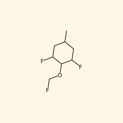 CC1CC(F)C(OCF)C(F)C1